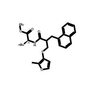 CCCC[C@H](NC(=O)C(CSc1ccoc1C)Cc1cccc2ccccc12)C(=O)OC(C)(C)C